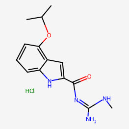 CNC(N)=NC(=O)c1cc2c(OC(C)C)cccc2[nH]1.Cl